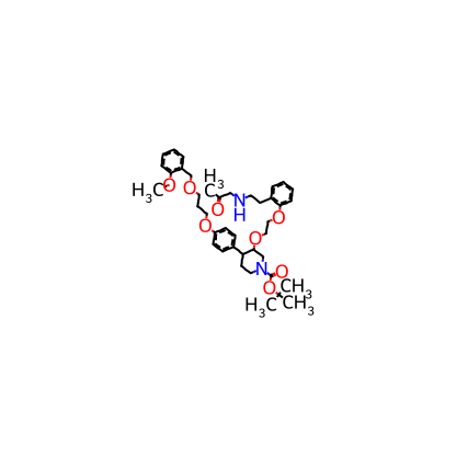 COc1ccccc1COCCCOc1ccc(C2CCN(C(=O)OC(C)(C)C)CC2OCCOc2ccccc2CCNCC(C)=O)cc1